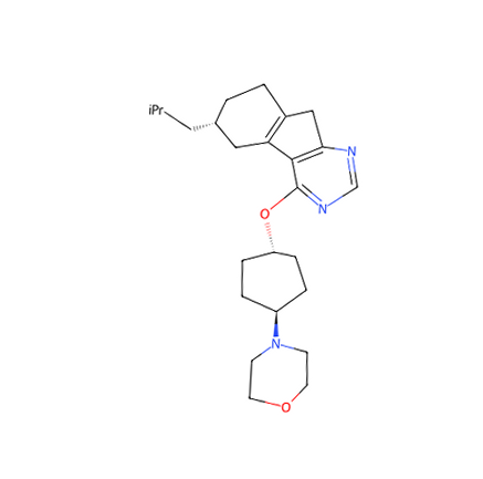 CC(C)C[C@@H]1CCC2=C(C1)c1c(ncnc1O[C@H]1CC[C@H](N3CCOCC3)CC1)C2